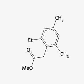 CCc1cc(C)cc(C)c1CC(=O)OC